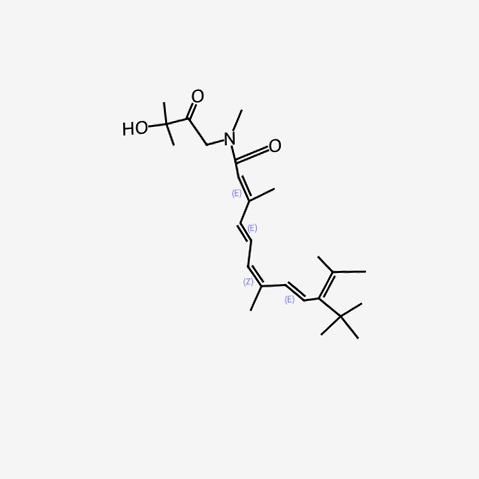 CC(C)=C(/C=C/C(C)=C\C=C\C(C)=C\C(=O)N(C)CC(=O)C(C)(C)O)C(C)(C)C